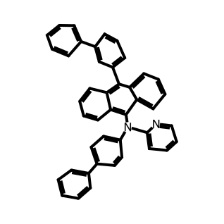 c1ccc(-c2ccc(N(c3ccccn3)c3c4ccccc4c(-c4cccc(-c5ccccc5)c4)c4ccccc34)cc2)cc1